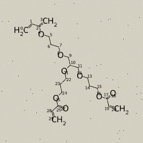 C=CC(=C)OCCCOCC(COCCCOC(=O)C=C)OCCCOC(=O)C=C